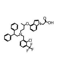 CC(CCN(Cc1cccc(C(F)(F)F)c1Cl)CC(c1ccccc1)c1ccccc1)Oc1cccc2c1ccn2CC(=O)O